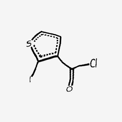 O=C(Cl)c1ccsc1I